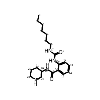 CCCCCCCNC(=O)Nc1ccccc1C(=O)NC1CCCNC1